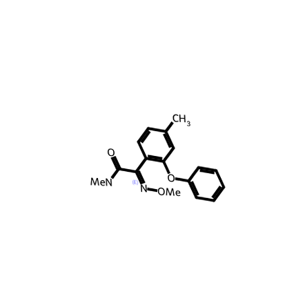 CNC(=O)/C(=N/OC)c1ccc(C)cc1Oc1ccccc1